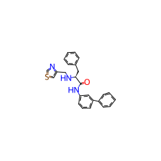 O=C(Nc1cccc(-c2ccccc2)c1)[C@H](Cc1ccccc1)NCc1cscn1